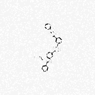 CC(C)CCn1c(-c2ccccc2)nc2cc(-c3nc(-c4cccc(C(=O)NS(=O)(=O)c5ccccc5)c4)no3)ccc21